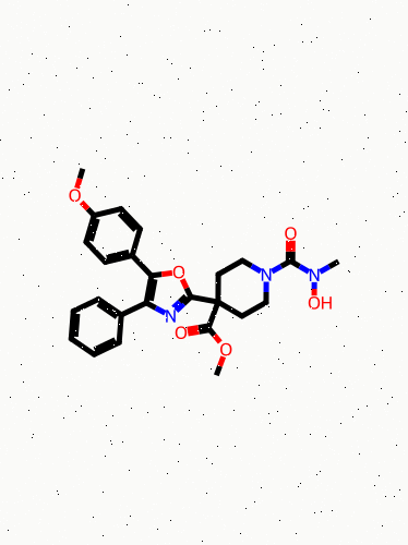 COC(=O)C1(c2nc(-c3ccccc3)c(-c3ccc(OC)cc3)o2)CCN(C(=O)N(C)O)CC1